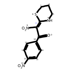 O=C(/C(=C1\NCCCS1)[N+](=O)[O-])c1ccc([N+](=O)[O-])cc1